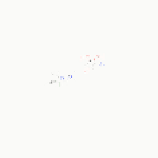 N#Cc1cc(OCCCCN2CCN(c3cccc(Cl)c3Cl)CC2)cc(O)c1O